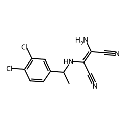 CC(N/C(C#N)=C(\N)C#N)c1ccc(Cl)c(Cl)c1